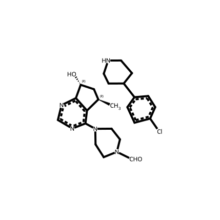 C[C@@H]1C[C@@H](O)c2ncnc(N3CCN(C=O)CC3)c21.Clc1ccc(C2CCNCC2)cc1